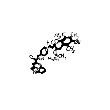 Cc1c(C)c(C(C)(C)C)c(C)c2c1OC(C)(CCN1CCC(CNC(=O)C3=Cc4cnc5cccc(n45)S3)CC1)C(O[SiH](C)C)C2